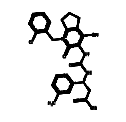 Cc1cccc([C@H](CC(=O)O)NC(=O)Nc2c(O)c3c(n(Cc4ccccc4Cl)c2=O)CCC3)c1